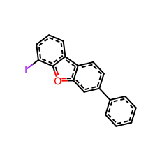 Ic1cccc2c1oc1cc(-c3ccccc3)ccc12